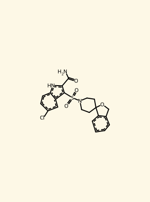 NC(=O)c1[nH]c2ccc(Cl)cc2c1S(=O)(=O)N1CCC2(CC1)OCc1ccccc12